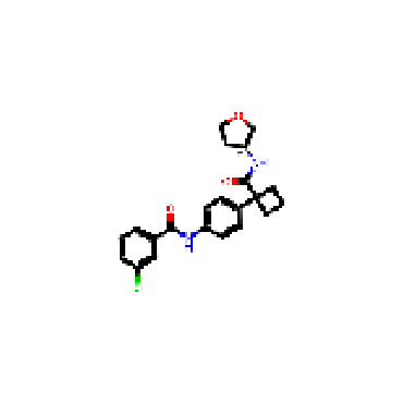 O=C(Nc1ccc(C2(C(=O)N[C@@H]3CCOC3)CCC2)cc1)c1cccc(Cl)c1